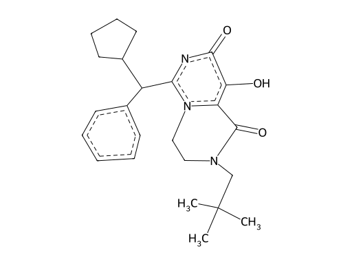 CC(C)(C)CN1CCn2c(C(c3ccccc3)C3CCCC3)nc(=O)c(O)c2C1=O